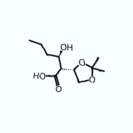 CCC[C@@H](O)C(C(=O)O)[C@H]1COC(C)(C)O1